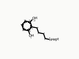 CCCCCCCCCCCc1c(O)cccc1O